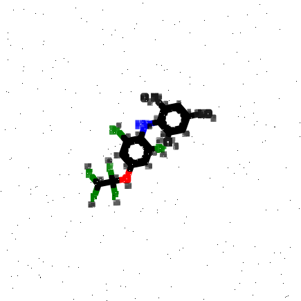 O=[N+]([O-])c1cc([N+](=O)[O-])c(Nc2c(Br)cc(OC(F)(F)C(F)F)cc2Br)c(C(F)(F)F)c1